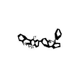 Clc1c2c3ccccc3nc-2[nH]c2ccc(-c3ccc4c(c3)c3ccccc3n4-c3ccccc3)cc12